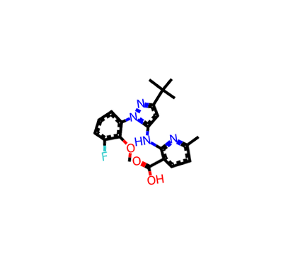 COc1c(F)cccc1-n1nc(C(C)(C)C)cc1Nc1nc(C)ccc1C(=O)O